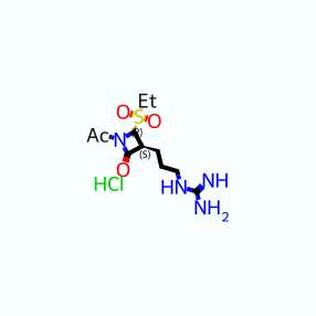 CCS(=O)(=O)[C@@H]1[C@@H](CCCNC(=N)N)C(=O)N1C(C)=O.Cl